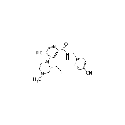 CN1CCN(c2cc(C(=O)NCc3ccc(C#N)cc3)ncc2C#N)[C@H](CF)C1